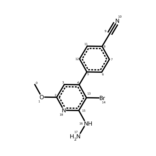 COc1cc(-c2ccc(C#N)cc2)c(Br)c(NN)n1